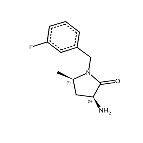 C[C@@H]1C[C@H](N)C(=O)N1Cc1cccc(F)c1